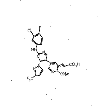 COc1ncc(-c2cnc(Nc3ccc(F)c(Cl)c3)nc2-n2ccc(C(F)(F)F)n2)cc1/C=C/C(=O)O